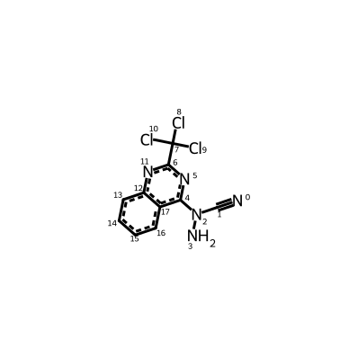 N#CN(N)c1nc(C(Cl)(Cl)Cl)nc2ccccc12